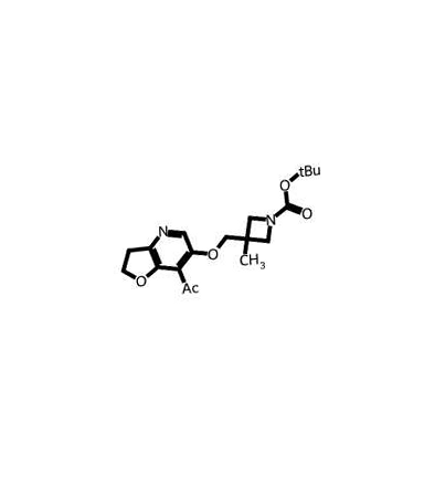 CC(=O)c1c(OCC2(C)CN(C(=O)OC(C)(C)C)C2)cnc2c1OCC2